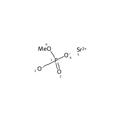 COP(=O)([O-])[O-].[Sr+2]